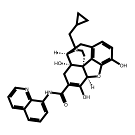 O=C(Nc1cccc2cccnc12)C1=C(O)[C@@H]2Oc3c(O)ccc4c3[C@@]23CCN(CC2CC2)[C@H](C4)[C@]3(O)C1